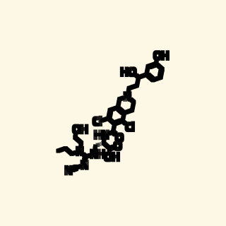 CCCN(CCO)/C(=N\C#N)NC[C@H](NC(=O)c1c(Cl)cc2c(c1Cl)CCN(CCC(O)c1cccc(O)c1)C2)C(=O)O